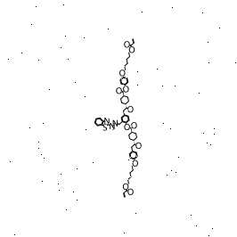 C=CC(=O)OCCCCCCOc1ccc(CC(=O)[C@H]2CC[C@H](C(=O)Oc3ccc(CC(=O)[C@H]4CC[C@H](C(=O)Oc5ccc(OCCCCCCOC(=O)C=C)cc5)CC4)cc3/C=N/N(C)c3nc4ccccc4s3)CC2)cc1